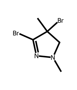 CN1CC(C)(Br)C(Br)=N1